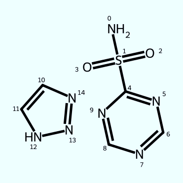 NS(=O)(=O)c1ncncn1.c1c[nH]nn1